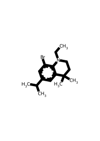 CCN1CCC(C)(C)c2cc(C(C)C)cc(Br)c21